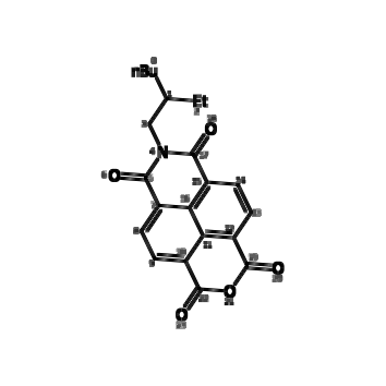 CCCCC(CC)CN1C(=O)c2ccc3c4c(ccc(c24)C1=O)C(=O)OC3=O